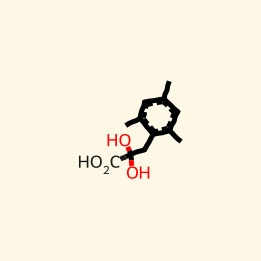 Cc1cc(C)c(CC(O)(O)C(=O)O)c(C)c1